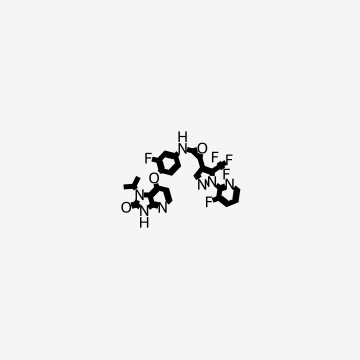 CC(C)n1c(=O)[nH]c2nccc(Oc3ccc(NC4OC4c4cnn(-c5ncccc5F)c4C(F)(F)F)cc3F)c21